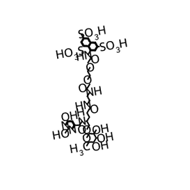 CC1OC(OCC(CCC(=O)NCCNC(=O)COCCOCC(=O)Nc2cc(S(=O)(=O)O)cc3cc(S(=O)(=O)O)cc(S(=O)(=O)O)c23)NC(=O)c2cc(O)nc(O)n2)C(O)C(O)C1O